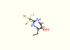 CCc1nc(C(F)(F)F)ncc1O